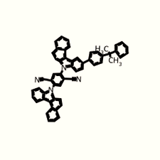 CC(C)(c1ccccc1)c1ccc(-c2ccc3c(c2)c2c4ccccc4ccc2n3-c2cc(C#N)c(-n3c4ccccc4c4c5ccccc5ccc43)cc2C#N)cc1